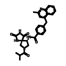 Cc1cc(Cc2ccc(C(=O)N[C@@H]3CN(C(=O)C(C)C)C[C@]34NC(=O)NC4=O)cc2)c2ccccc2n1